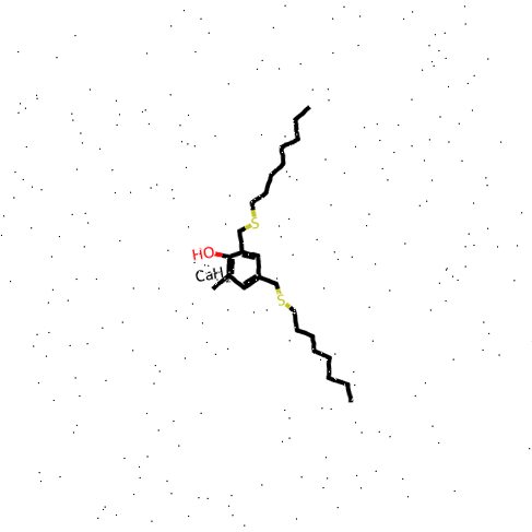 CCCCCCCCSCc1cc(C)c(O)c(CSCCCCCCCC)c1.[CaH2]